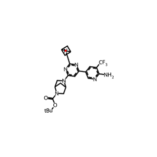 CC(C)(C)OC(=O)N1CC2CC1CN2c1cc(-c2cnc(N)c(C(F)(F)F)c2)nc(N2CC3CC2C3)n1